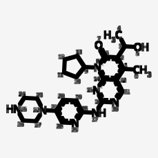 Cc1c(C(C)O)c(=O)n(C2CCCC2)c2nc(Nc3ccc(N4CCNCC4)cn3)ncc12